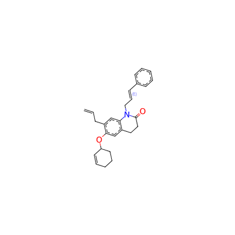 C=CCc1cc2c(cc1OC1C=CCCC1)CCC(=O)N2C/C=C/c1ccccc1